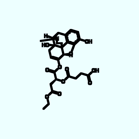 CCOC(=O)C[C@H](OC(=O)CCC(=O)O)C(=O)OC1=CC[C@]2(O)[C@@H]3Cc4ccc(O)c5c4[C@]2(CCN3C)[C@@H]1O5